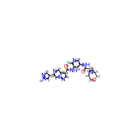 Cn1cc(-c2cn3ncc(C(=O)Nc4cc(NC(=O)CN5C6CCC5COC6)cnc4F)c3cn2)cn1